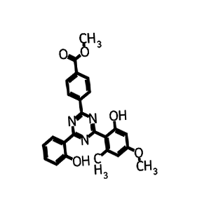 COC(=O)c1ccc(-c2nc(-c3ccccc3O)nc(-c3c(C)cc(OC)cc3O)n2)cc1